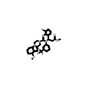 COC(=O)CC1c2cccc(F)c2N=C(N2CCn3c(cc4c(OC)cccc43)C2)N1c1cccc(C(F)(F)F)c1